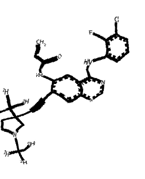 [2H]C([2H])([2H])N1CCC(C#Cc2cc3ncnc(Nc4cccc(Cl)c4F)c3cc2NC(=O)C=C)(C([2H])([2H])[2H])C1